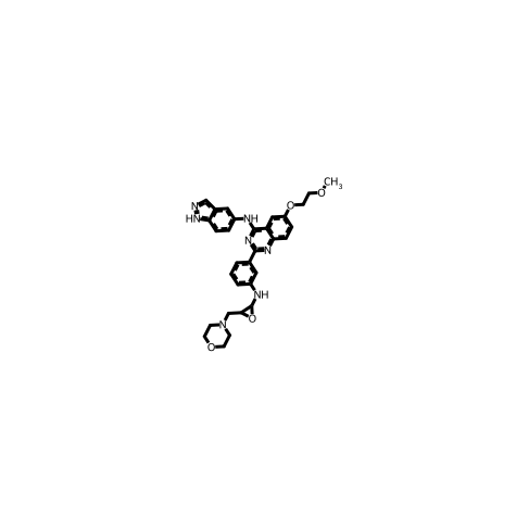 COCCOc1ccc2nc(-c3cccc(NC4OC4CN4CCOCC4)c3)nc(Nc3ccc4[nH]ncc4c3)c2c1